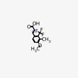 COc1ccc(/C=C/C(=O)O)c(C(F)(F)F)c1C